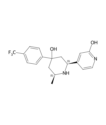 C[C@H]1CC(O)(c2ccc(C(F)(F)F)cc2)C[C@@H](c2ccnc(O)c2)N1